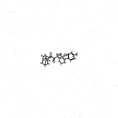 O=C(CN1CCCN(c2ccc(F)cc2)S1(O)O)NC1C2CC3CC(C2)CC1C3